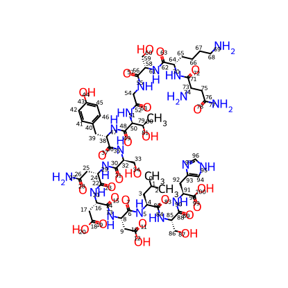 CC(C)C[C@H](NC(=O)[C@H](CC(=O)O)NC(=O)[C@H](CC(=O)O)NC(=O)[C@H](CC(N)=O)NC(=O)[C@H](CO)NC(=O)[C@H](Cc1ccc(O)cc1)NC(=O)[C@@H](NC(=O)CNC(=O)[C@H](CO)NC(=O)[C@H](CCCCN)NC(=O)[C@@H](N)CC(N)=O)[C@@H](C)O)C(=O)N[C@@H](CO)C(=O)N[C@@H](Cc1c[nH]cn1)C(=O)O